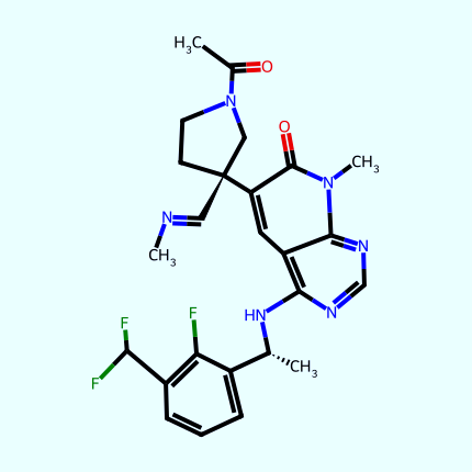 CN=C[C@@]1(c2cc3c(N[C@H](C)c4cccc(C(F)F)c4F)ncnc3n(C)c2=O)CCN(C(C)=O)C1